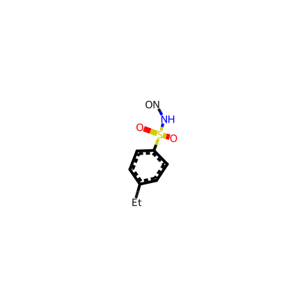 CCc1ccc(S(=O)(=O)NN=O)cc1